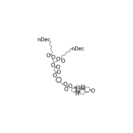 CCCCCCCCCCCCCCCC(=O)OCC(COC(=O)CCCCCCCCCCCCCCC)OC(=O)CC(=O)Oc1ccc(COC(=O)OC2CC[C@H]3[C@@H]4CCC5=CC(=O)CC[C@]5(C)[C@H]4CC[C@]23C)cc1